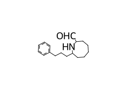 O=CC1CCCCCC(CCCc2ccccc2)N1